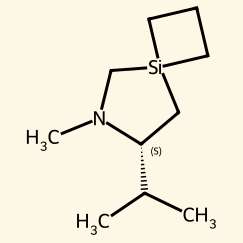 CC(C)[C@H]1C[Si]2(CCC2)CN1C